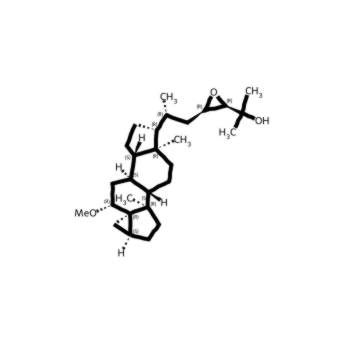 CO[C@@H]1C[C@H]2[C@@H]3CC[C@H]([C@H](C)C[C@H]4O[C@H]4C(C)(C)O)[C@@]3(C)CC[C@@H]2[C@@]2(C)CC[C@H]3C[C@]312